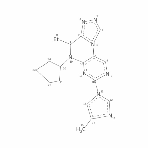 CCC1c2nncn2-c2cnc(-n3cnc(C)c3)nc2N1C1CCCC1